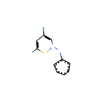 ClC1=CN(Nc2ccccc2)SC(Cl)=C1